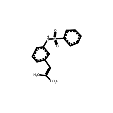 CC(=Cc1cccc(NS(=O)(=O)c2ccccc2)c1)C(=O)O